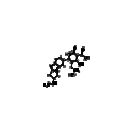 CCc1c(-c2ccc3cc4n(c3c2)CC(NC)C4)[nH]c(=O)c(C(=O)O)c1O.Cl